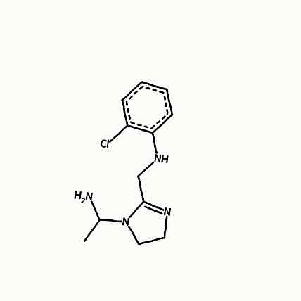 CC(N)N1CCN=C1CNc1ccccc1Cl